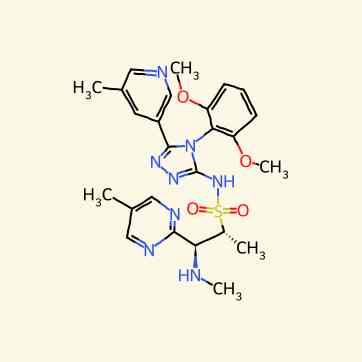 CN[C@@H](c1ncc(C)cn1)[C@@H](C)S(=O)(=O)Nc1nnc(-c2cncc(C)c2)n1-c1c(OC)cccc1OC